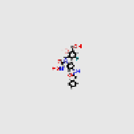 O=C(Cc1ccccc1)Nc1ccc2c(c1)/C(=N/O)C(=O)N2Cc1cc(F)cc(CO)c1O